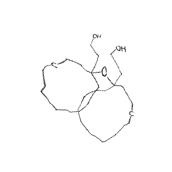 OCCC1(OC2(CCO)CCCCCCCCCCC2)CCCCCCCCCCC1